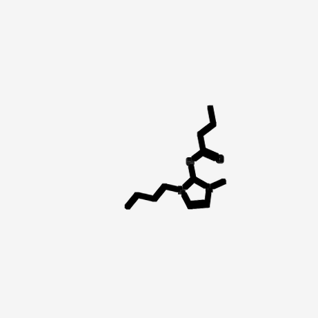 CCCCN1C=CN(C)C1OC(=O)CCC